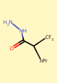 CCCC(C(=O)NN)C(F)(F)F